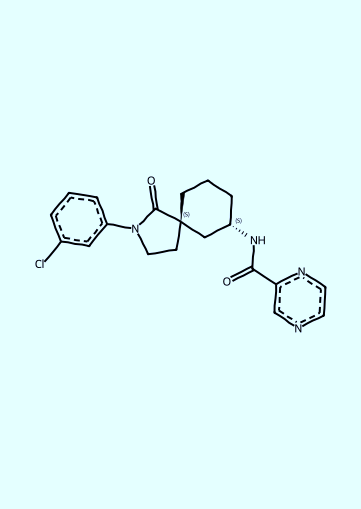 O=C(N[C@H]1CCC[C@]2(CCN(c3cccc(Cl)c3)C2=O)C1)c1cnccn1